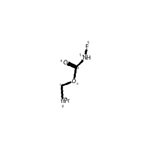 CCCCOC(=O)NF